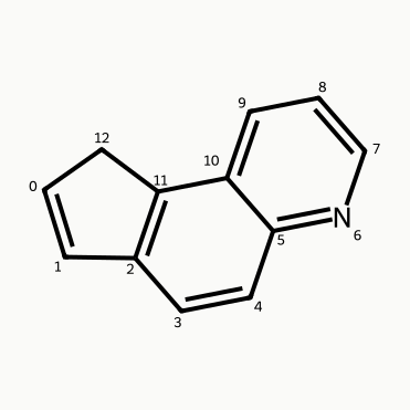 C1=Cc2ccc3ncccc3c2C1